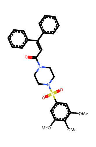 COc1cc(S(=O)(=O)N2CCN(C(=O)C=C(c3ccccc3)c3ccccc3)CC2)cc(OC)c1OC